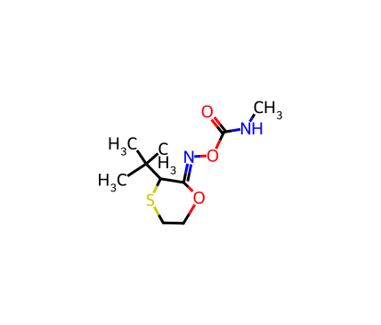 CNC(=O)ON=C1OCCSC1C(C)(C)C